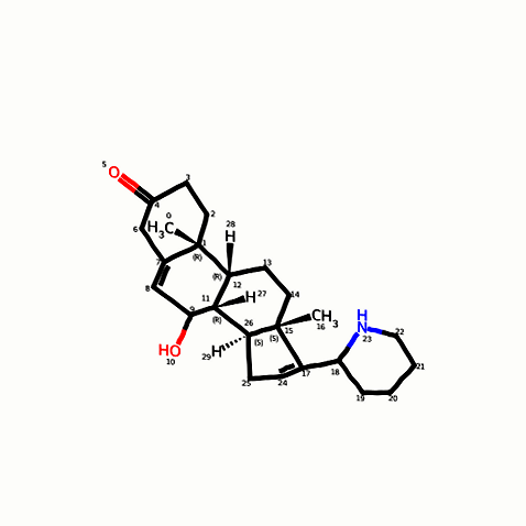 C[C@]12CCC(=O)CC1=CC(O)[C@@H]1[C@H]2CC[C@]2(C)C(C3CCCCN3)=CC[C@@H]12